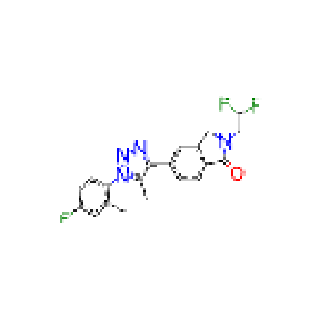 Cc1cc(F)ccc1-n1nnc(-c2ccc3c(c2)CN(CC(F)F)C3=O)c1C